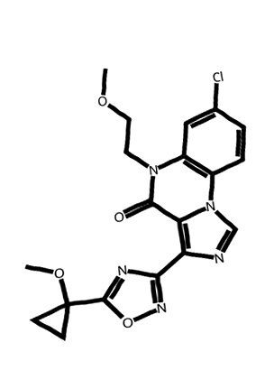 COCCn1c(=O)c2c(-c3noc(C4(OC)CC4)n3)ncn2c2ccc(Cl)cc21